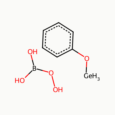 OOB(O)O.[GeH3][O]c1ccccc1